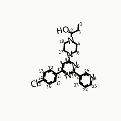 CCC(O)N1CCN(c2cc(-c3ccc(Cl)cc3)nc(-c3cccnc3)n2)CC1